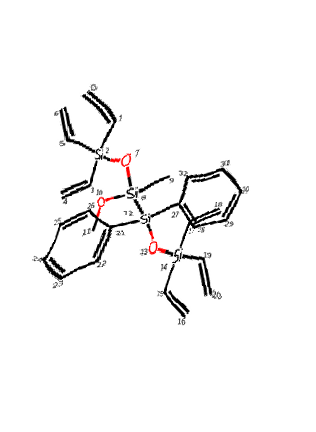 C=C[Si](C=C)(C=C)O[Si](C)(OC)[Si](O[Si](C=C)(C=C)C=C)(c1ccccc1)c1ccccc1